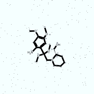 COc1cc(N)c(C(CN2CCCC[C@H]2CO)(OC)OC)cc1OC